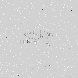 O=[N+]([O-])c1cc(Br)ccc1Nc1ccc(/C(=N/O)c2sccc2Cl)c(Cl)c1